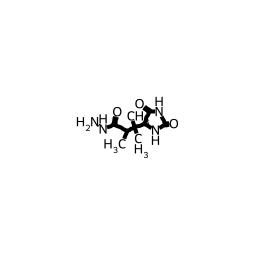 CC(C(=O)NN)C(C)(C)C1NC(=O)NC1=O